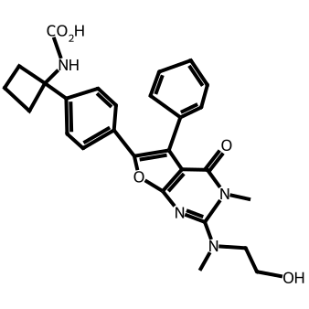 CN(CCO)c1nc2oc(-c3ccc(C4(NC(=O)O)CCC4)cc3)c(-c3ccccc3)c2c(=O)n1C